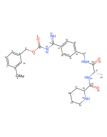 COc1cccc(COC(=O)NC(=N)c2ccc(CNC(=O)[C@H](C)NC(=O)C3CCCCN3)cc2)c1